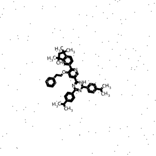 CC(C)c1ccc(C2=NC(c3ccc(C(C)C)cc3)NC(c3cnc(-c4ccc5c(c4)C(C)(C)CC5(C)C)c(OCCc4ccccc4)c3)=N2)cc1